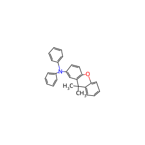 CC1(C)c2ccccc2Oc2ccc(N(c3ccccc3)c3ccccc3)cc21